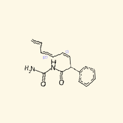 C=C/C=C\C=C/C(C(=O)NC(N)=O)c1ccccc1